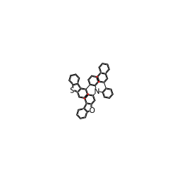 c1ccc(N(c2ccc3c(c2)oc2ccccc23)c2ccccc2-c2cccc3sc4ccccc4c23)c(-c2ccc3ccccc3c2)c1